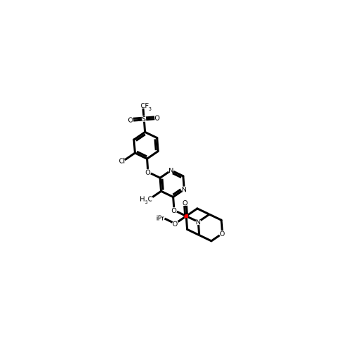 Cc1c(Oc2ccc(S(=O)(=O)C(F)(F)F)cc2Cl)ncnc1OC1CC2COCC(C1)N2C(=O)OC(C)C